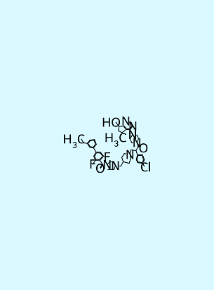 CCc1cccc(-c2cc(F)c(C(=O)N3CCN(CC4CCN(CC(C(=O)N5CCN(c6ncnc7c6[C@H](C)C[C@H]7O)CC5)c5ccc(Cl)cc5)CC4)CC3)c(F)c2)c1